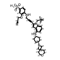 CS(=O)(=O)c1ccc(NCC#Cc2cc3c(N[C@H]4CC[C@H](N5CC6(CCOCC6)C5)CC4)cccc3n2CC(F)(F)F)c(OCC#N)c1